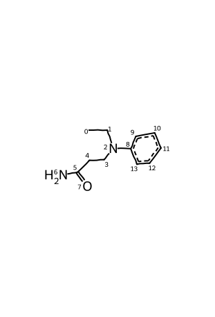 CCN(CCC(N)=O)c1ccccc1